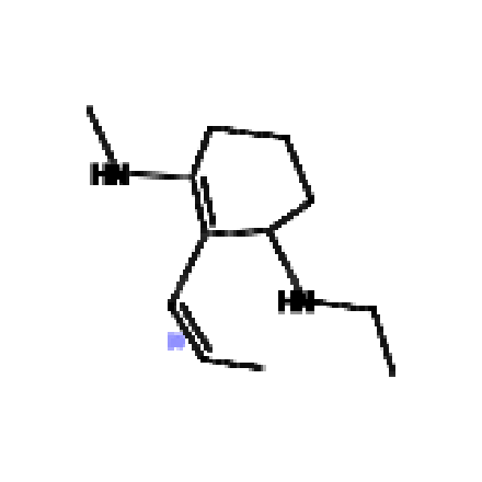 C/C=C\C1=C(NC)CCCC1NCC